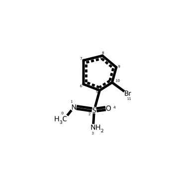 CN=S(N)(=O)c1ccccc1Br